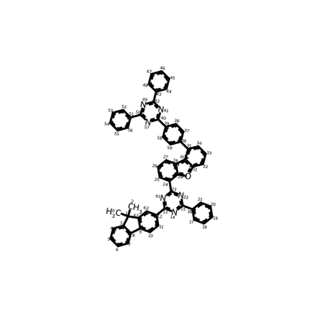 CC1(C)c2ccccc2-c2ccc(-c3nc(-c4ccccc4)nc(-c4cccc5c4oc4cccc(-c6ccc(-c7nc(-c8ccccc8)nc(-c8ccccc8)n7)cc6)c45)n3)cc21